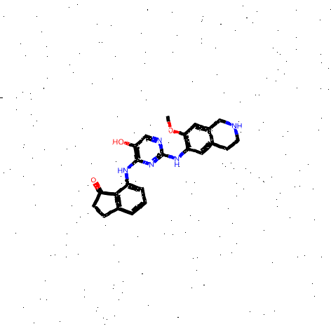 COc1cc2c(cc1Nc1ncc(O)c(Nc3cccc4c3C(=O)CC4)n1)CCNC2